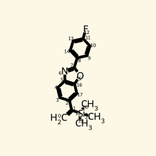 C=C(c1ccc2nc(-c3ccc(F)cc3)oc2c1)[Si](C)(C)C